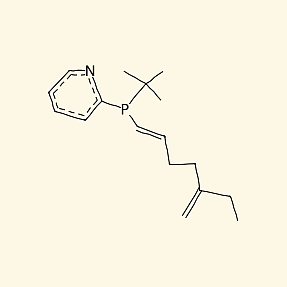 C=C(CC)CC/C=C/P(c1ccccn1)C(C)(C)C